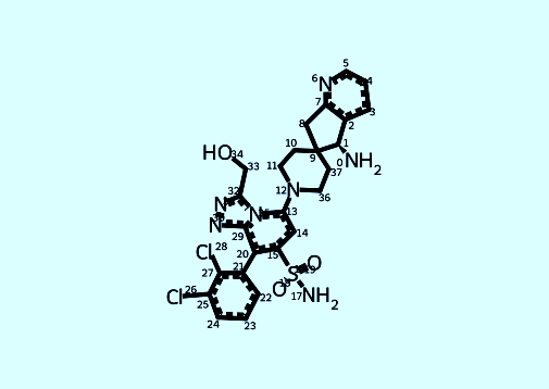 N[C@@H]1c2cccnc2CC12CCN(c1cc(S(N)(=O)=O)c(-c3cccc(Cl)c3Cl)c3nnc(CO)n13)CC2